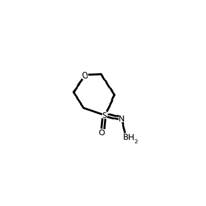 BN=S1(=O)CCOCC1